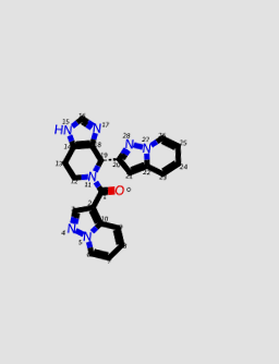 O=C(c1cnn2ccccc12)N1CCc2[nH]cnc2[C@@H]1c1cc2ccccn2n1